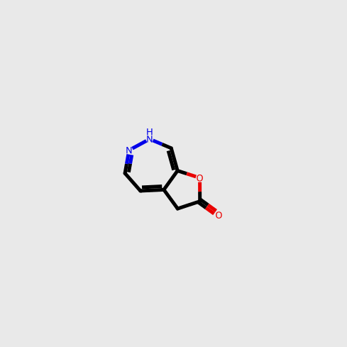 O=C1CC2=CC=NNC=C2O1